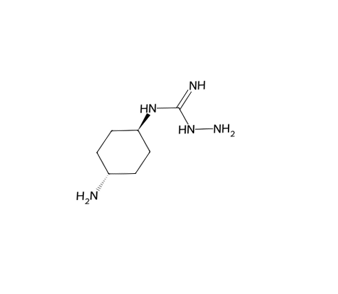 N=C(NN)N[C@H]1CC[C@H](N)CC1